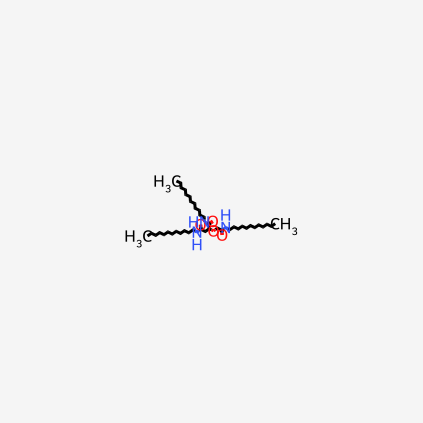 CCCCCCCCCCCCNC(=O)COC(CC(=O)NCCCCCCCCCCCC)C(=O)NCCCCCCCCCCCC